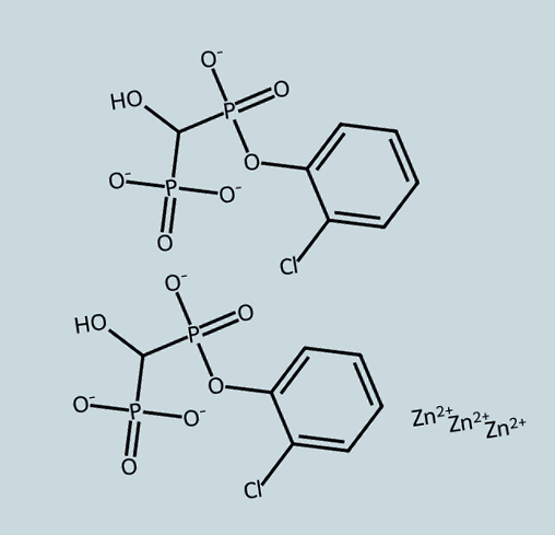 O=P([O-])([O-])C(O)P(=O)([O-])Oc1ccccc1Cl.O=P([O-])([O-])C(O)P(=O)([O-])Oc1ccccc1Cl.[Zn+2].[Zn+2].[Zn+2]